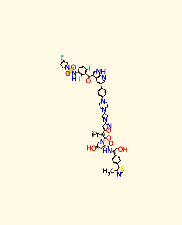 Cc1ncsc1-c1ccc([C@H](CO)NC(=O)[C@@H]2C[C@@H](O)CN2C(=O)[C@H](c2cc(N3CC(N4CCN(c5ccc(-c6cnc7[nH]cc(C(=O)c8c(F)ccc(NS(=O)(=O)N9CC[C@@H](F)C9)c8F)c7c6)cc5)CC4)C3)no2)C(C)C)cc1